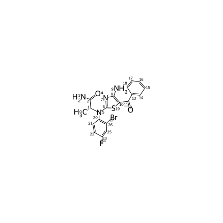 C[C@H](C(N)=O)N(c1nc(N)c(C(=O)c2ccccc2)s1)c1ccc(F)cc1Br